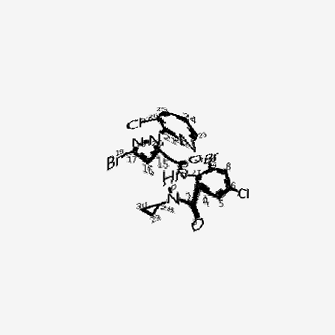 CN(C(=O)c1cc(Cl)cc(Br)c1NC(=O)c1cc(Br)nn1-c1ncccc1Cl)C1CC1